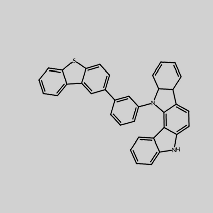 C1=CC2c3ccc4[nH]c5ccccc5c4c3N(c3cccc(-c4ccc5sc6ccccc6c5c4)c3)C2C=C1